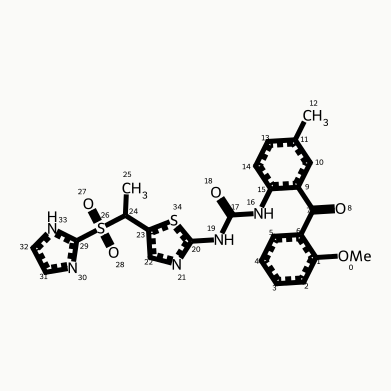 COc1ccccc1C(=O)c1cc(C)ccc1NC(=O)Nc1ncc(C(C)S(=O)(=O)c2ncc[nH]2)s1